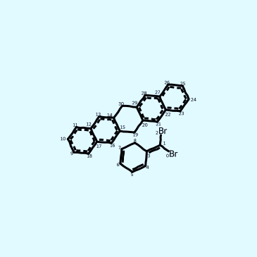 BrC(Br)=C1C=CC=CC1.c1ccc2cc3c(cc2c1)Cc1cc2ccccc2cc1C3